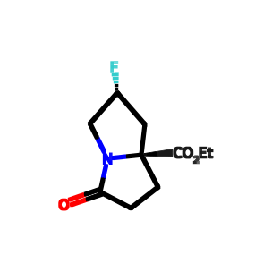 CCOC(=O)[C@@]12CCC(=O)N1C[C@H](F)C2